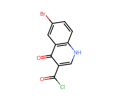 O=C(Cl)c1c[nH]c2ccc(Br)cc2c1=O